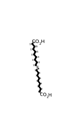 O=C(O)CCCCCCCCCSCCCCCCCCCC(=O)O